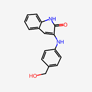 O=c1[nH]c2ccccc2cc1Nc1ccc(CO)cc1